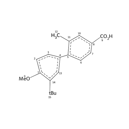 COc1ccc(-c2ccc(C(=O)O)cc2C)cc1C(C)(C)C